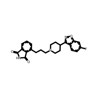 O=C1NC(=O)c2c(CCCN3CCC(c4noc5cc(F)ccc45)CC3)cccc21